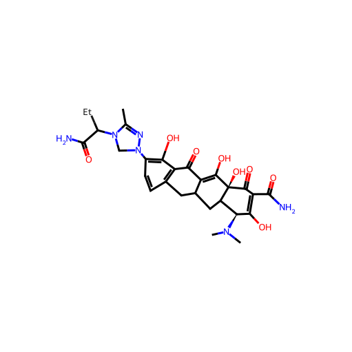 CCC(C(N)=O)N1CN(c2ccc3c(c2O)C(=O)C2=C(O)[C@]4(O)C(=O)C(C(N)=O)=C(O)[C@@H](N(C)C)C4CC2C3)N=C1C